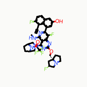 C#Cc1c(F)ccc2cc(O)cc(-c3nc(NC)c4c(N5CC6CCC(C5)N6C(=O)C(F)(F)F)nc(OC[C@]56CCCN5C[C@@H](F)C6)nc4c3F)c12